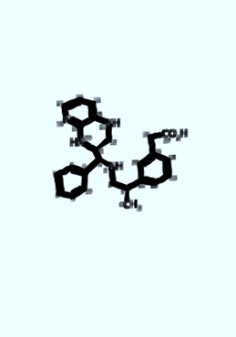 C[C@@H](CN[C@@H](c1ccccc1)[C@@H]1CNc2cccnc2N1)c1cccc(CC(=O)O)c1